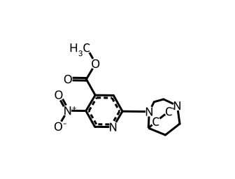 COC(=O)c1cc(N2CCN3CCC2CC3)ncc1[N+](=O)[O-]